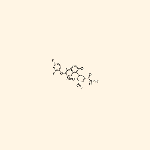 CCCNC(=O)C1=CC(C)C(OC)C(c2c(=O)ccn3nc(Oc4ccc(F)cc4F)ccc23)=C1